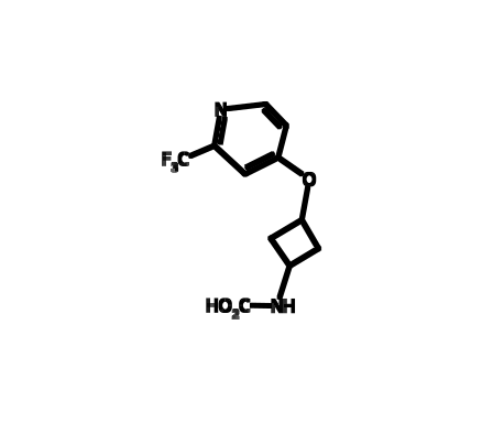 O=C(O)NC1CC(Oc2ccnc(C(F)(F)F)c2)C1